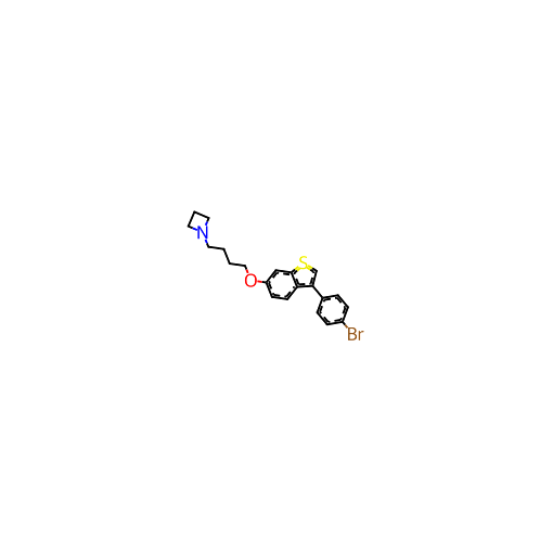 Brc1ccc(-c2csc3cc(OCCCCN4CCC4)ccc23)cc1